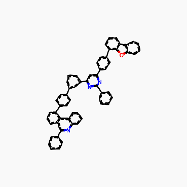 c1ccc(-c2nc(-c3ccc(-c4cccc5c4oc4ccccc45)cc3)cc(-c3cccc(-c4ccc(-c5cccc6c(-c7ccccc7)nc7ccccc7c56)cc4)c3)n2)cc1